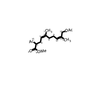 COC(=O)C(CC=C(C)CCC=C(C)COC(C)=O)C(C)=O